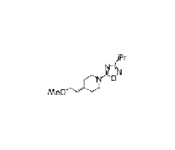 COCC=C1CCN(c2nc(C(C)C)no2)CC1